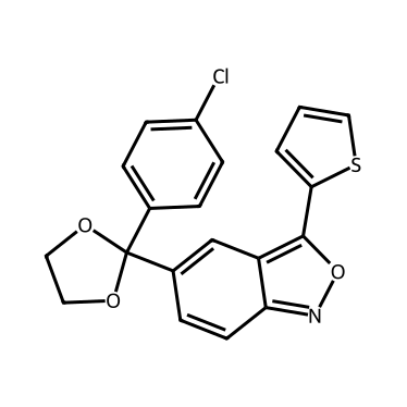 Clc1ccc(C2(c3ccc4noc(-c5cccs5)c4c3)OCCO2)cc1